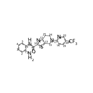 Nc1ccccc1NC(=O)c1nc2c(s1)CN(c1ccc(C(F)(F)F)cn1)CC2